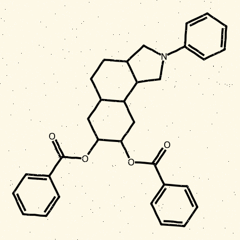 O=C(OC1CC2CCC3CN(c4ccccc4)CC3C2CC1OC(=O)c1ccccc1)c1ccccc1